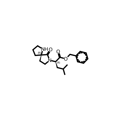 CC(C)C[C@H](C(=O)OCc1ccccc1)N1CC[C@]2(CCCN2)C1=O